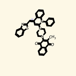 CC1=C(N2CCN(C3=C/C(=C\c4nc5ccccc5s4)c4ccccc4N3c3ccccc3)CC2)C(=O)c2ccccc2C1=O